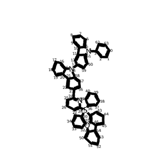 c1ccc(-n2c3ccccc3c3cc(-n4c5ccccc5c5cc(-c6cccc(S(c7ccccc7)(c7ccccc7)c7cccc8c7oc7ccccc78)n6)ccc54)ccc32)cc1